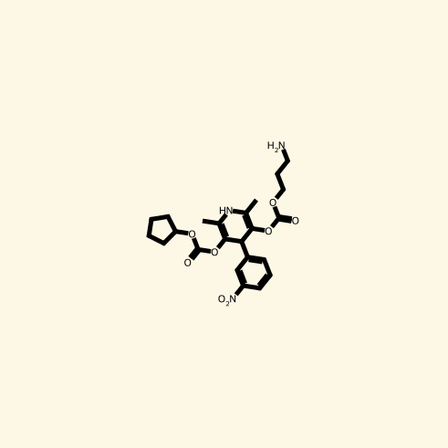 CC1=C(OC(=O)OCCCN)C(c2cccc([N+](=O)[O-])c2)C(OC(=O)OC2CCCC2)=C(C)N1